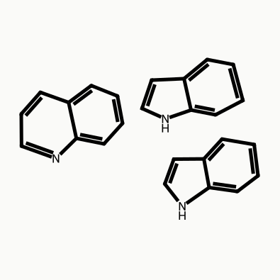 c1ccc2[nH]ccc2c1.c1ccc2[nH]ccc2c1.c1ccc2ncccc2c1